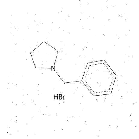 Br.c1ccc(CN2CCCC2)cc1